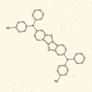 N#Cc1ccc(N(c2ccccc2)c2ccc3c(c2)oc2c4ccc(N(c5ccccc5)c5ccc(C#N)cc5)cc4sc32)cc1